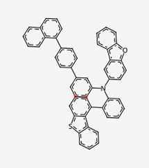 c1cc(-c2ccc(-c3cccc4ccccc34)cc2)cc(N(c2ccc3oc4ccccc4c3c2)c2ccccc2-c2cccc3sc4ccccc4c23)c1